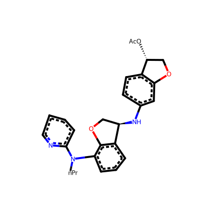 CCCN(c1ccccn1)c1cccc2c1OC[C@H]2Nc1ccc2c(c1)OC[C@H]2OC(C)=O